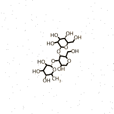 CC1O[C@@H](OC2C(O)COC(CO)[C@H]2O[C@@H]2OC(CO)[C@H](O)C(O)C2O)C(O)C(O)[C@@H]1O